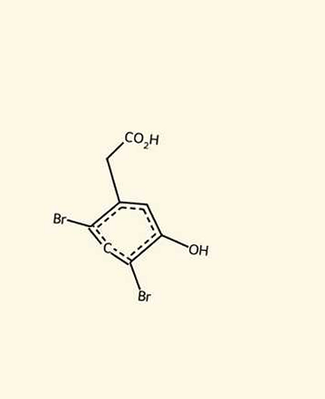 O=C(O)Cc1cc(O)c(Br)cc1Br